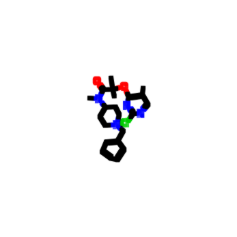 Cc1cnc(Cl)nc1OC(C)(C)C(=O)N(C)C1CCN(Cc2ccccc2)CC1